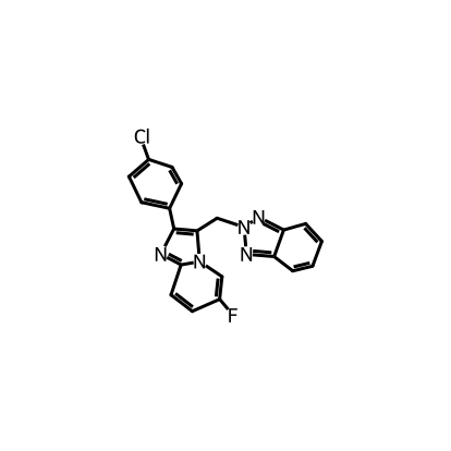 Fc1ccc2nc(-c3ccc(Cl)cc3)c(Cn3nc4ccccc4n3)n2c1